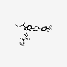 COC(=O)c1cn([C@H]2C[C@@H](NC(=O)OC(C)(C)C)C2)c2nc(N3CCN(c4ccc(S(C)(=O)=O)cc4)CC3)ccc12